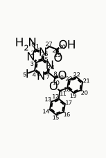 Nc1nc2c(I)nc(C(=O)OC(c3ccccc3)c3ccccc3)nc2n1CC(=O)O